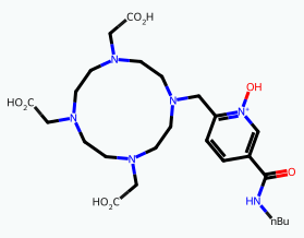 CCCCNC(=O)c1ccc(CN2CCN(CC(=O)O)CCN(CC(=O)O)CCN(CC(=O)O)CC2)[n+](O)c1